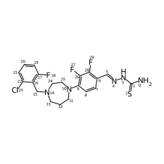 NC(=S)N/N=C/c1ccc(N2CCCN(Cc3c(F)cccc3Cl)CC2)c(F)c1F